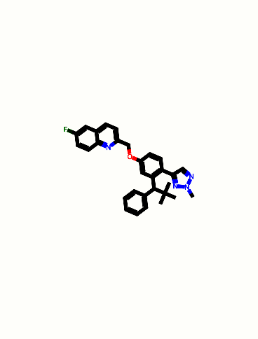 Cn1ncc(-c2ccc(OCc3ccc4cc(F)ccc4n3)cc2C(c2ccccc2)C(C)(C)C)n1